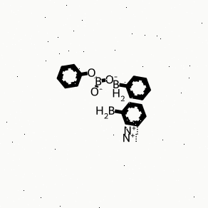 Bc1ccccc1.Bc1ccccc1.[N+].[N+].[O-]B([O-])Oc1ccccc1